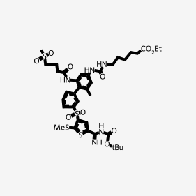 CCOC(=O)CCCCCNC(=O)Nc1cc(C)c(-c2cccc(S(=O)(=O)c3cc(C(=N)NC(=O)OC(C)(C)C)sc3SC)c2)c(NC(=O)CCCS(C)(=O)=O)c1